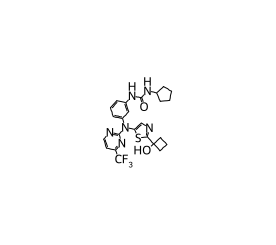 O=C(Nc1cccc(N(c2nccc(C(F)(F)F)n2)c2cnc(C3(O)CCC3)s2)c1)NC1CCCC1